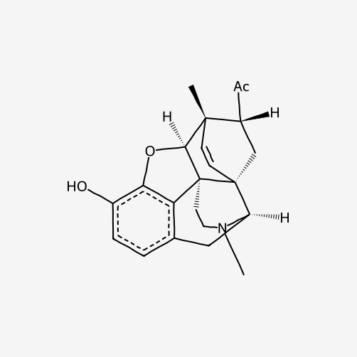 CC(=O)[C@@H]1C[C@@]23C=C[C@]1(C)[C@@H]1Oc4c(O)ccc5c4[C@@]12CCN(C)[C@@H]3C5